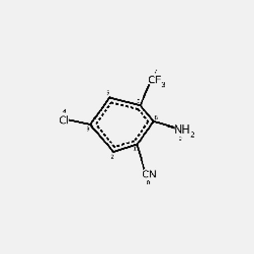 N#Cc1cc(Cl)cc(C(F)(F)F)c1N